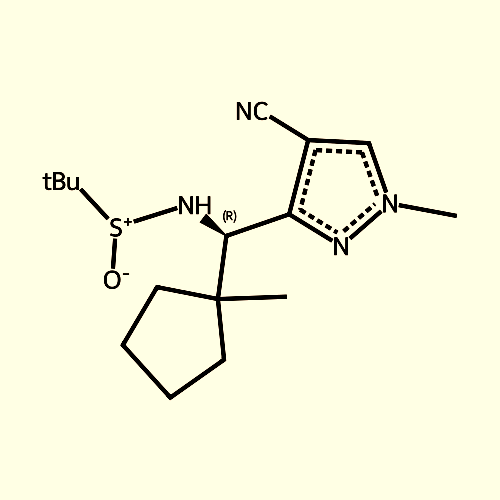 Cn1cc(C#N)c([C@H](N[S+]([O-])C(C)(C)C)C2(C)CCCC2)n1